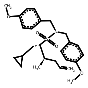 C=CC[C@@H](C)[C@H](CC1CC1)S(=O)(=O)N(Cc1ccc(OC)cc1)Cc1ccc(OC)cc1